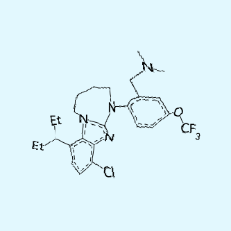 CCC(CC)c1ccc(Cl)c2nc3n(c12)CCCCN3c1ccc(OC(F)(F)F)cc1CN(C)C